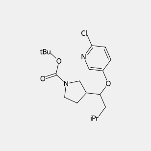 CC(C)CC(Oc1ccc(Cl)nc1)C1CCN(C(=O)OC(C)(C)C)C1